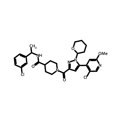 COc1cc(-c2cc(C(=O)N3CCC(C(=O)NC(C)c4cccc(Cl)c4)CC3)nn2C2CCCCO2)c(Cl)cn1